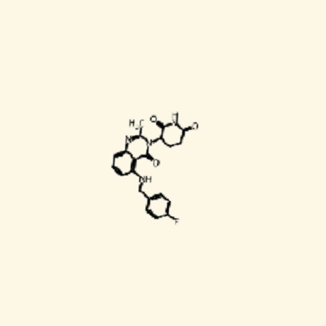 Cc1nc2cccc(NCc3ccc(F)cc3)c2c(=O)n1C1CCC(=O)NC1=O